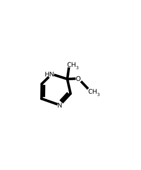 COC1(C)C=NC=CN1